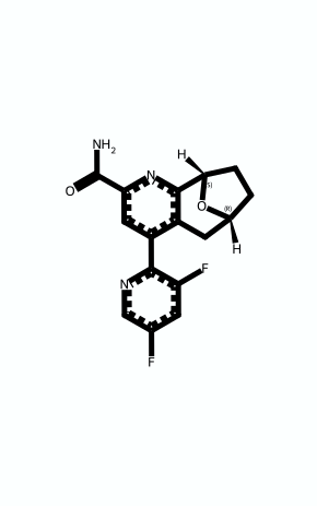 NC(=O)c1cc(-c2ncc(F)cc2F)c2c(n1)[C@@H]1CC[C@H](C2)O1